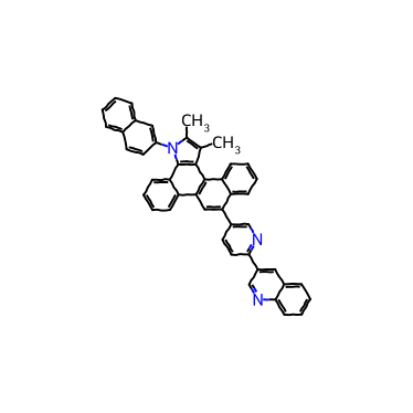 Cc1c(C)n(-c2ccc3ccccc3c2)c2c3ccccc3c3cc(-c4ccc(-c5cnc6ccccc6c5)nc4)c4ccccc4c3c12